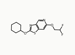 FC(F)COc1cc2sc(OC3CCCCC3)nc2cn1